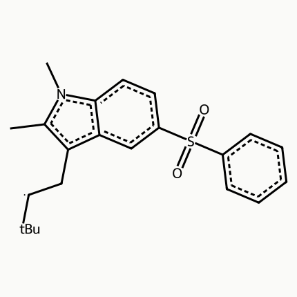 Cc1c(C[CH]C(C)(C)C)c2cc(S(=O)(=O)c3ccccc3)ccc2n1C